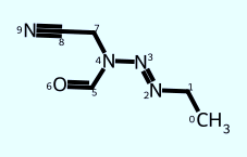 CC/N=N/N(C=O)CC#N